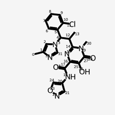 Cc1cn(C(c2ccccc2Cl)C(C)c2nc(C(=O)Nc3cnoc3)c(O)c(=O)n2C)cn1